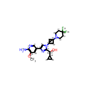 Nc1ncc(-c2cn(C34CC(N5CCC(F)(F)CC5)(C3)C4)c([C@@H](O)C3CC3)n2)cc1OC(F)(F)F